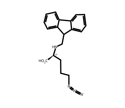 [N-]=[N+]=NCCC[C@H](NCC1c2ccccc2-c2ccccc21)C(=O)O